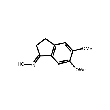 COc1cc2c(cc1OC)C(=NO)CC2